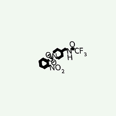 O=C(NCC1CCN(S(=O)(=O)c2ccccc2[N+](=O)[O-])CC1)C(F)(F)F